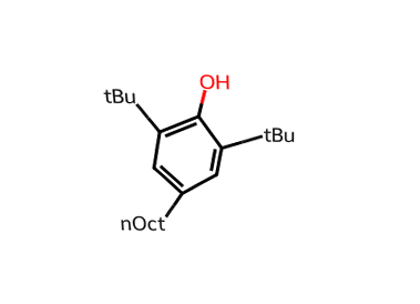 CCCCCCCCc1cc(C(C)(C)C)c(O)c(C(C)(C)C)c1